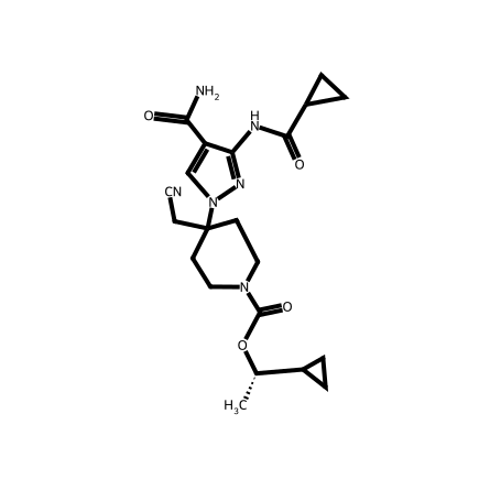 C[C@H](OC(=O)N1CCC(CC#N)(n2cc(C(N)=O)c(NC(=O)C3CC3)n2)CC1)C1CC1